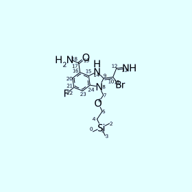 C[Si](C)(C)CCOCN1/C(=C(\Br)C=N)Nc2c(C(N)=O)cc(F)cc21